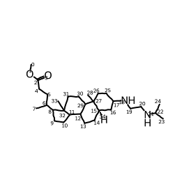 COC(=O)CCC(C)C1CCC2C3CC[C@H]4CC(NCCNC(C)C)CCC4(C)C3CCC12C